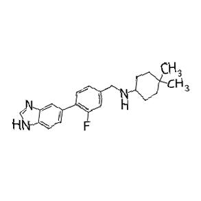 CC1(C)CCC(NCc2ccc(-c3ccc4[nH]cnc4c3)c(F)c2)CC1